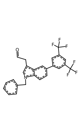 O=CCc1cn(Cc2ccccc2)c2ccc(-c3cc(C(F)(F)F)cc(C(F)(F)F)c3)cc12